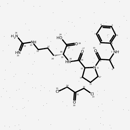 CC(Nc1ccccc1)C(=O)N1CCCC1C(=O)N[C@H](CCCNC(=N)N)C(=O)O.O=C(CCl)CCl